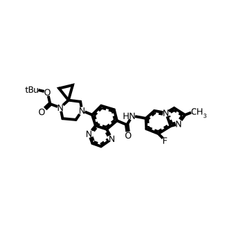 Cc1cn2cc(NC(=O)c3ccc(N4CCN(C(=O)OC(C)(C)C)C5(CC5)C4)c4nccnc34)cc(F)c2n1